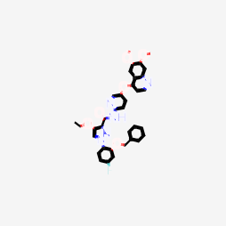 CCOc1cn(-c2ccc(F)cc2OCc2ccccc2)nc1C(=O)Nc1ccc(Oc2ccnc3cc(OC)c(OC)cc23)cn1